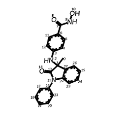 CC1(Nc2ccc(C(=O)NO)cc2)C(=O)N(c2ccccc2)c2ccccc21